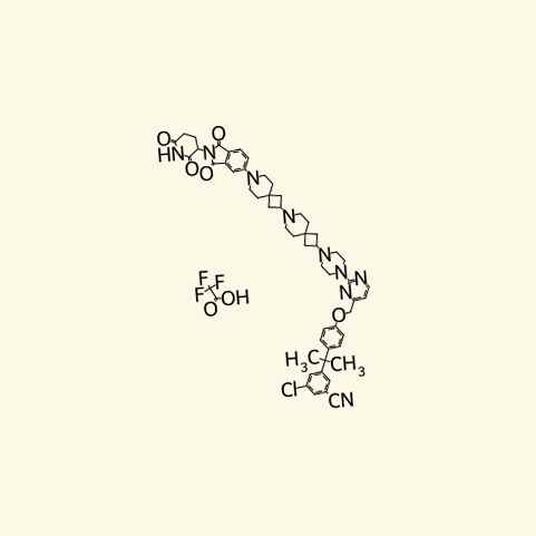 CC(C)(c1ccc(OCc2ccnc(N3CCN(C4CC5(CCN(C6CC7(CCN(c8ccc9c(c8)C(=O)N(C8CCC(=O)NC8=O)C9=O)CC7)C6)CC5)C4)CC3)n2)cc1)c1cc(Cl)cc(C#N)c1.O=C(O)C(F)(F)F